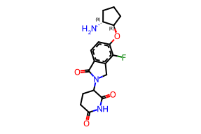 N[C@@H]1CCC[C@H]1Oc1ccc2c(c1F)CN(C1CCC(=O)NC1=O)C2=O